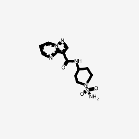 NS(=O)(=O)N1CCC(NC(=O)c2cnn3cccnc23)CC1